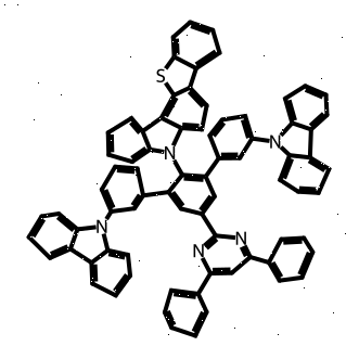 c1ccc(-c2cc(-c3ccccc3)nc(-c3cc(-c4cccc(-n5c6ccccc6c6ccccc65)c4)c(-n4c5ccccc5c5c6sc7ccccc7c6ccc54)c(-c4cccc(-n5c6ccccc6c6ccccc65)c4)c3)n2)cc1